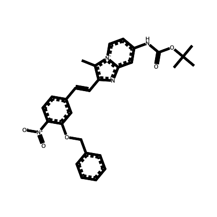 Cc1c(C=Cc2ccc([N+](=O)[O-])c(OCc3ccccc3)c2)nc2cc(NC(=O)OC(C)(C)C)ccn12